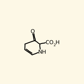 O=C(O)C1NC=CCC1=O